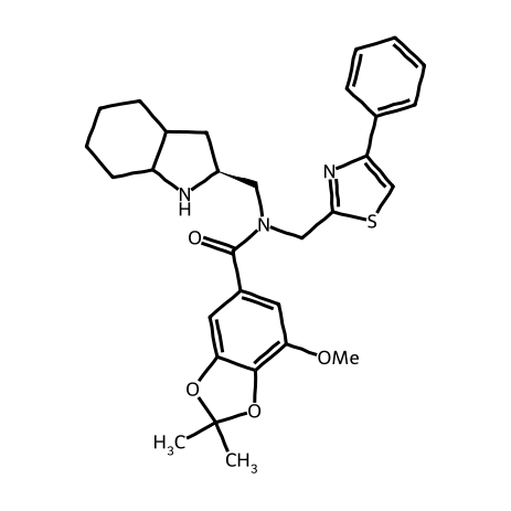 COc1cc(C(=O)N(Cc2nc(-c3ccccc3)cs2)C[C@@H]2CC3CCCCC3N2)cc2c1OC(C)(C)O2